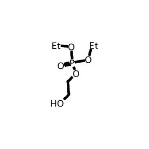 CCOP(=O)(OCC)OCCO